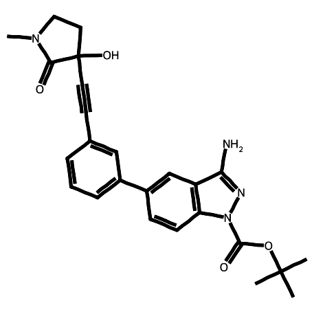 CN1CCC(O)(C#Cc2cccc(-c3ccc4c(c3)c(N)nn4C(=O)OC(C)(C)C)c2)C1=O